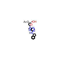 CC(=O)O[C@H]1C[C@H](n2cnc3c(N[C@H]4CCc5ccccc54)ncnc32)O[C@H]1CO